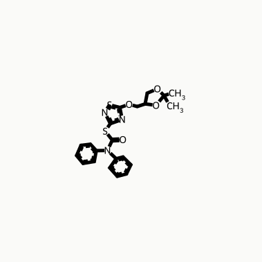 CC1(C)OCC(COc2nc(SC(=O)N(c3ccccc3)c3ccccc3)ns2)O1